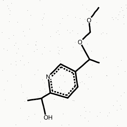 COCOC(C)c1ccc(C(C)O)nc1